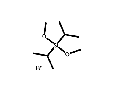 CO[Si](OC)(C(C)C)C(C)C.[H+]